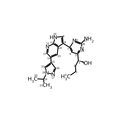 CCC[C@H](O)c1cc(-c2c[nH]c3ncc(-c4cnn(C(C)C)c4)cc23)nc(N)n1